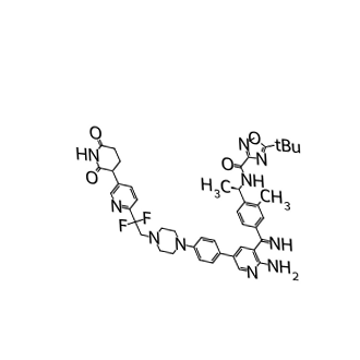 Cc1cc(C(=N)c2cc(-c3ccc(N4CCN(CC(F)(F)c5ccc(C6CCC(=O)NC6=O)cn5)CC4)cc3)cnc2N)ccc1[C@@H](C)NC(=O)c1noc(C(C)(C)C)n1